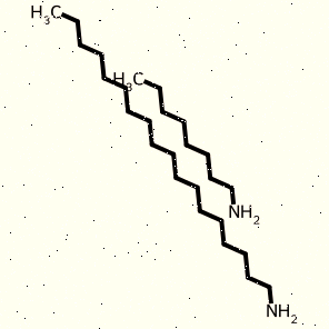 CCCCCCCCCCCCCCCCCCN.CCCCCCCCN